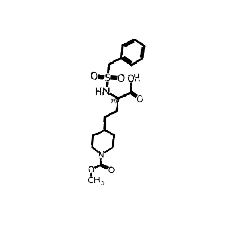 COC(=O)N1CCC(CC[C@@H](NS(=O)(=O)Cc2ccccc2)C(=O)O)CC1